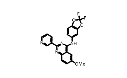 COc1ccc2nc(-c3cccnc3)nc(Nc3ccc4c(c3)OC(F)(F)O4)c2c1